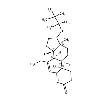 CCC1=CC2=CC(=O)CC[C@]2(C)[C@@H]2CC[C@]3(C)C(O[Si](C)(C)C(C)(C)C)CC[C@H]3[C@H]12